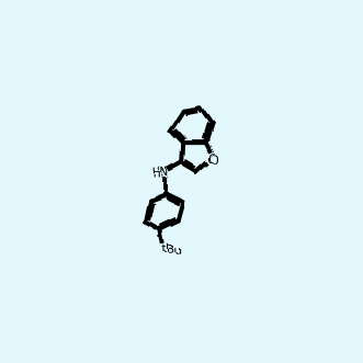 CC(C)(C)c1ccc(Nc2coc3ccccc23)cc1